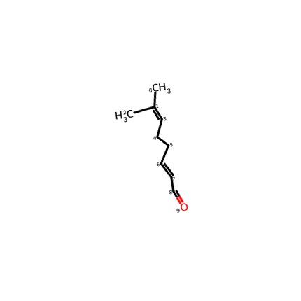 CC(C)=CCCC=CC=O